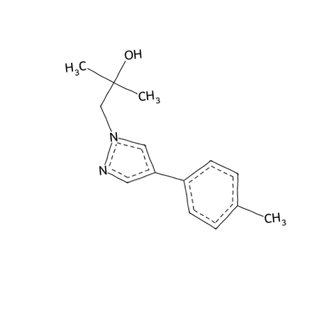 Cc1ccc(-c2cnn(CC(C)(C)O)c2)cc1